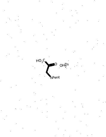 CCCCCCC(=O)C(=O)O.O.[Zn]